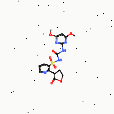 COc1cc(OC)nc(NC(=O)NS(=O)(=O)c2cccnc2C2CCOC2=O)n1